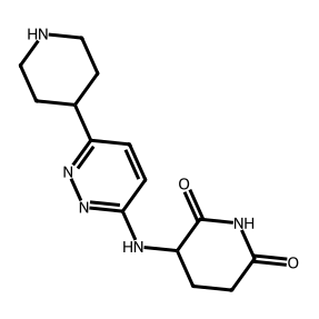 O=C1CCC(Nc2ccc(C3CCNCC3)nn2)C(=O)N1